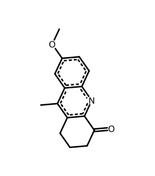 COc1ccc2nc3c(c(C)c2c1)CCCC3=O